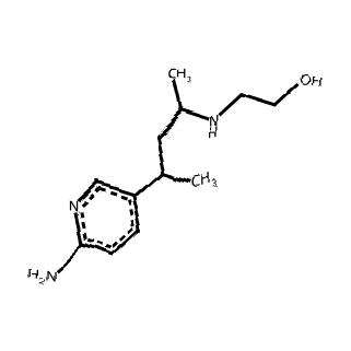 CC(CC(C)c1ccc(N)nc1)NCCO